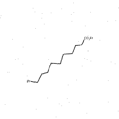 CCOC(=O)CCCCCCCCCC(C)C